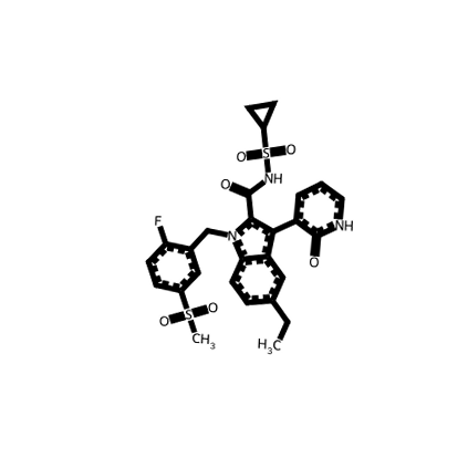 CCc1ccc2c(c1)c(-c1ccc[nH]c1=O)c(C(=O)NS(=O)(=O)C1CC1)n2Cc1cc(S(C)(=O)=O)ccc1F